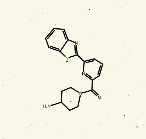 NC1CCN(C(=O)c2cccc(-c3nc4ccccc4[nH]3)n2)CC1